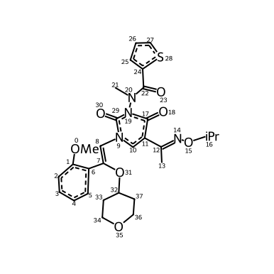 COc1ccccc1/C(=C/n1cc(/C(C)=N/OC(C)C)c(=O)n(N(C)C(=O)c2cccs2)c1=O)OC1CCOCC1